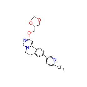 FC(F)(F)c1ccc(-c2ccc3c(c2)CCN2CN=C(OCC4COCCO4)C=C32)cn1